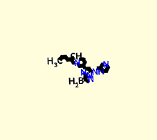 Bc1cnn2c(NCc3cccnc3)cc(C3CCCN(C/C(C)=C/C=C\C)C3)nc12